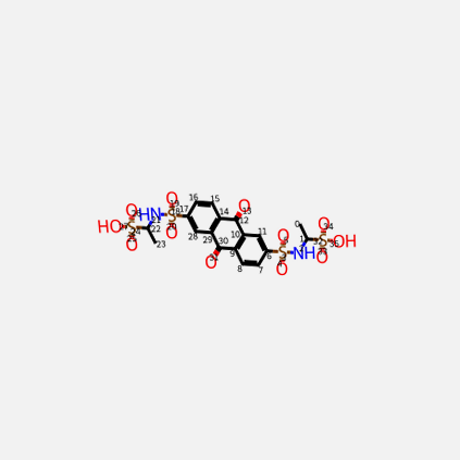 CC(NS(=O)(=O)c1ccc2c(c1)C(=O)c1ccc(S(=O)(=O)NC(C)S(=O)(=O)O)cc1C2=O)S(=O)(=O)O